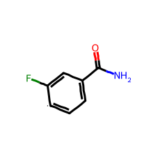 NC(=O)c1cc[c]c(F)c1